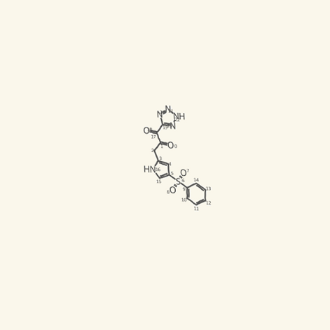 O=C(Cc1cc(S(=O)(=O)c2ccccc2)c[nH]1)C(=O)c1nn[nH]n1